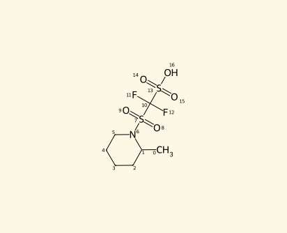 CC1CCCCN1S(=O)(=O)C(F)(F)S(=O)(=O)O